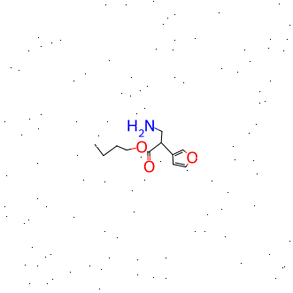 CCCCOC(=O)C(CN)c1ccoc1